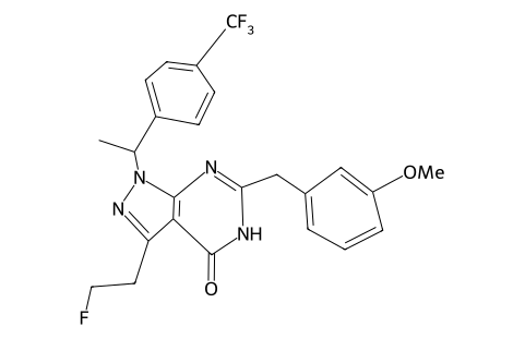 COc1cccc(Cc2nc3c(c(CCF)nn3C(C)c3ccc(C(F)(F)F)cc3)c(=O)[nH]2)c1